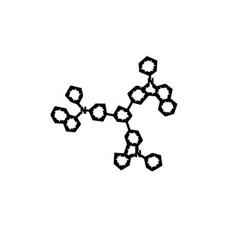 c1ccc(N(c2ccc(-c3cc(-c4ccc5c(c4)c4ccccc4n5-c4ccccc4)cc(-c4ccc5c(c4)c4c6ccccc6ccc4n5-c4ccccc4)c3)cc2)c2cccc3ccccc23)cc1